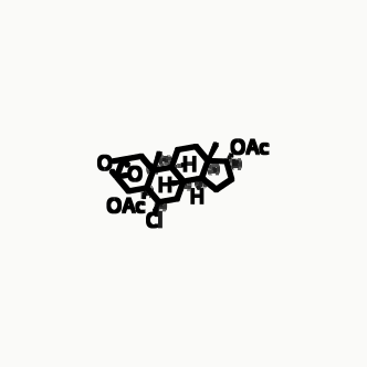 CC(=O)O[C@@H]1CC[C@H]2[C@@H]3C[C@@H](Cl)[C@@]4(OC(C)=O)CC56OC5(C[C@]4(C)[C@H]3CC[C@]12C)O6